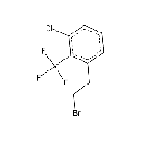 FC(F)(F)c1c(Cl)cccc1CCBr